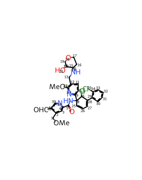 COCc1cc(C(=O)NC2(c3ccc(CN[C@@H]4CCOC[C@H]4O)c(OC)n3)C=CC=C(c3ccccc3Cl)C2Cl)ncc1C=O